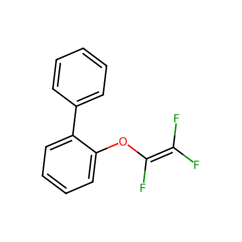 FC(F)=C(F)Oc1ccccc1-c1ccccc1